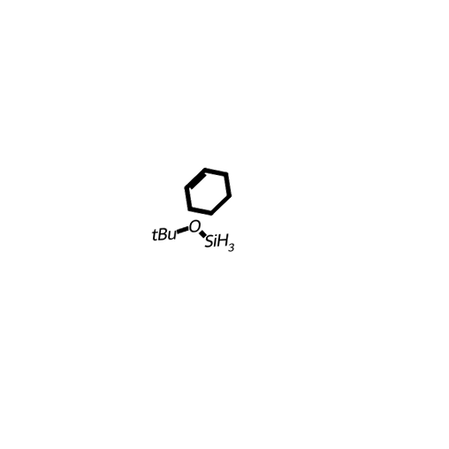 C1=CCCCC1.CC(C)(C)O[SiH3]